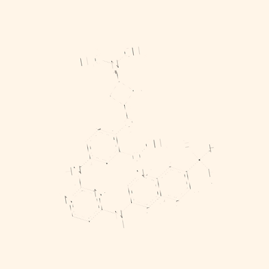 COc1cc(Nc2nccc(Nc3cnc4cc(C(F)(F)F)ccc4c3)n2)ccc1OC1CC(N(C)C)C1